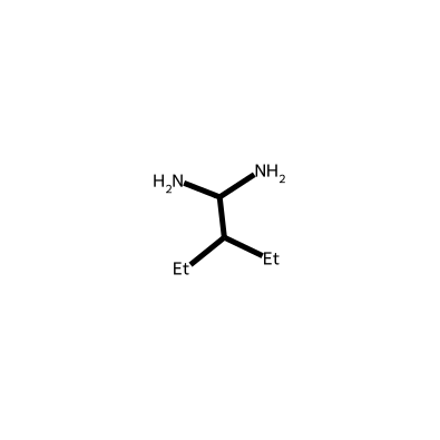 CCC(CC)[C](N)N